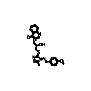 COc1ccc(C=Nn2c(C)nnc2SCC(O)Cn2cnc3ccccc3c2=O)cc1